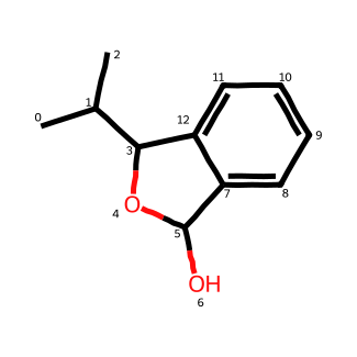 CC(C)C1OC(O)c2ccccc21